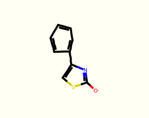 [O]c1nc(-c2ccccc2)cs1